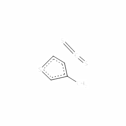 Cc1ccsc1.S=C=S